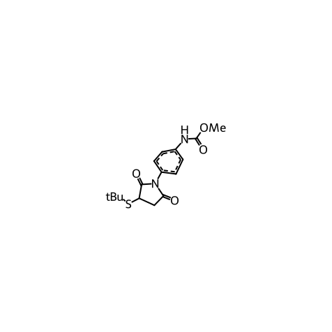 COC(=O)Nc1ccc(N2C(=O)CC(SC(C)(C)C)C2=O)cc1